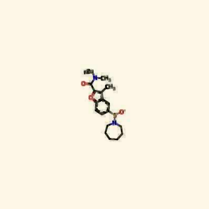 CCCCN(C)C(=O)c1oc2ccc([S+]([O-])N3CCCCCC3)cc2c1C